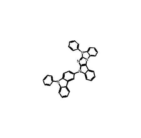 c1ccc(-n2c3ccccc3c3cc(-n4c5ccccc5c5c4nc4n(-c6ccccc6)c6ccccc6n54)ccc32)cc1